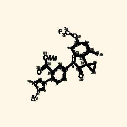 CCn1cc(-c2ccc(NC(=O)C3(c4ccc(OC(F)(F)F)cc4F)CC3)cc2C(=O)OC)cn1